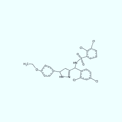 CCOc1ccc(C2CC(C(NS(=O)(=O)c3cccc(Cl)c3Cl)c3ccc(Cl)cc3Cl)=NN2)cc1